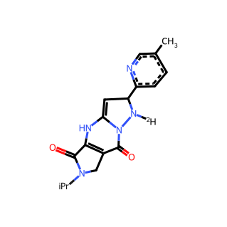 [2H]N1C(c2ccc(C)cn2)C=C2NC3=C(CN(C(C)C)C3=O)C(=O)N21